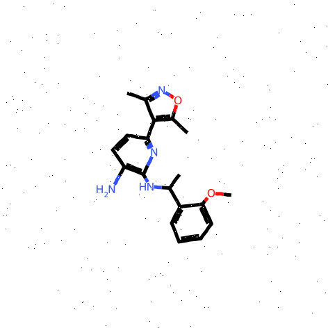 COc1ccccc1C(C)Nc1nc(-c2c(C)noc2C)ccc1N